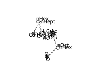 CCCCCCCCC1C(CCCCCC)CCC(CCCCCCCCN2C(=O)C=CC2=O)C1CCCCCCCCN1C(=O)CC(N(CC(C)(C)CC(C)CCN(C(C)=O)C2CC(=O)N(CCCCCCCCC34C(CCCCCCCCN5C(=O)C=CC5=O)CCC(CCCCCC)C3C4CCCCCCC)C2=O)C(C)=O)C1=O